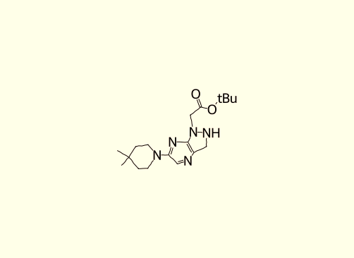 CC1(C)CCN(c2cnc3c(n2)N(CC(=O)OC(C)(C)C)NC3)CC1